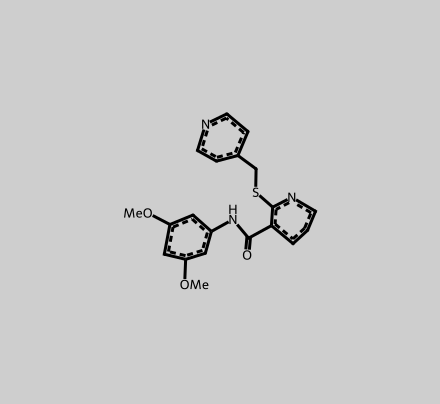 COc1cc(NC(=O)c2cccnc2SCc2ccncc2)cc(OC)c1